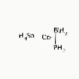 [Co].[PH2][BiH2].[SnH4]